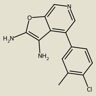 Cc1cc(-c2cncc3oc(N)c(N)c23)ccc1Cl